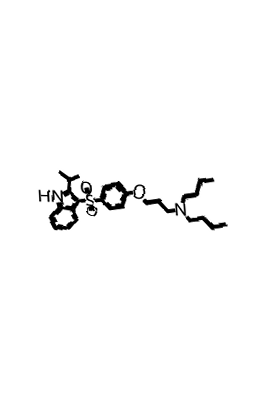 CCCCN(CCCC)CCCOc1ccc(S(=O)(=O)c2c(C(C)C)[nH]c3ccccc23)cc1